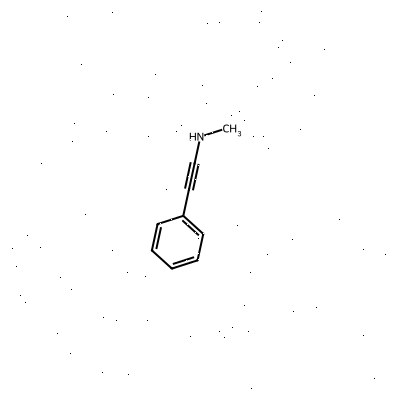 CNC#Cc1ccccc1